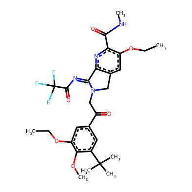 CCOc1cc2c(nc1C(=O)NC)C(=NC(=O)C(F)(F)F)N(CC(=O)c1cc(OCC)c(OC)c(C(C)(C)C)c1)C2